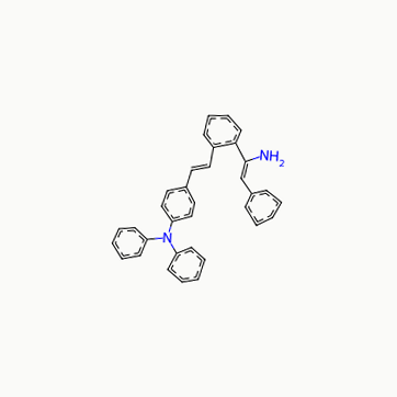 NC(=Cc1ccccc1)c1ccccc1C=Cc1ccc(N(c2ccccc2)c2ccccc2)cc1